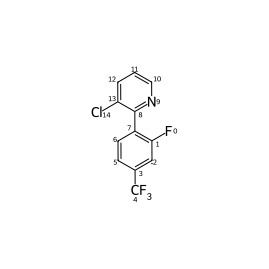 Fc1[c]c(C(F)(F)F)ccc1-c1ncccc1Cl